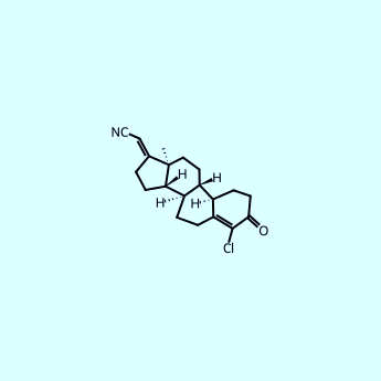 C[C@]12CC[C@H]3[C@@H](CCC4=C(Cl)C(=O)CC[C@@H]43)[C@@H]1CC/C2=C\C#N